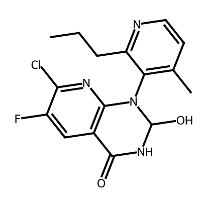 CCCc1nccc(C)c1N1c2nc(Cl)c(F)cc2C(=O)NC1O